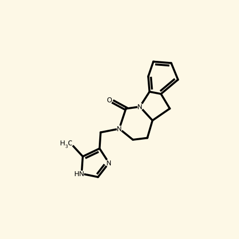 Cc1[nH]cnc1CN1CCC2Cc3ccccc3N2C1=O